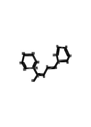 CC(=CC=Cc1ccccc1)c1ccccc1